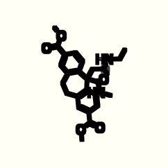 CCN[C@@H](C)CC1(C(=O)NC)c2ccc(C(=O)OC)cc2CCc2cc(C(=O)OC)ccc21